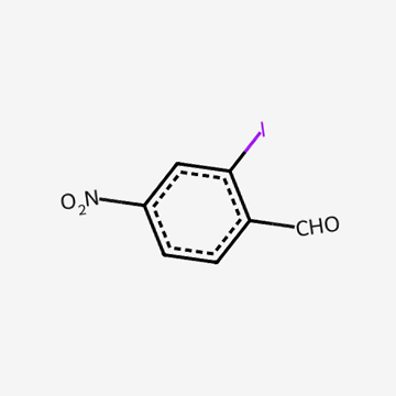 O=Cc1ccc([N+](=O)[O-])cc1I